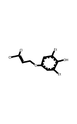 CCc1cc(OCC=C(Cl)Cl)cc(CC)c1O